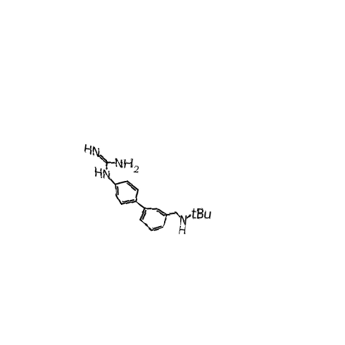 CC(C)(C)NCc1cccc(-c2ccc(NC(=N)N)cc2)c1